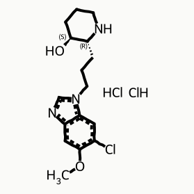 COc1cc2ncn(CCC[C@H]3NCCC[C@@H]3O)c2cc1Cl.Cl.Cl